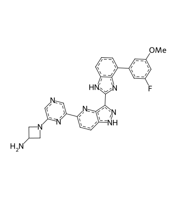 COc1cc(F)cc(-c2cccc3[nH]c(-c4n[nH]c5ccc(-c6cncc(N7CC(N)C7)n6)nc45)nc23)c1